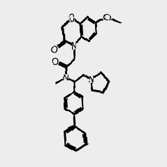 COc1ccc2c(c1)OCC(=O)N2CC(=O)N(C)C(CN1CCCC1)c1ccc(-c2ccccc2)cc1